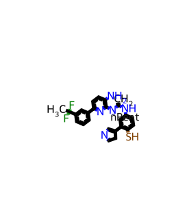 C=C(Nc1ccc(S)c(C2=CN=CC2)c1)N(CCCCC)c1nc(-c2cccc(C(C)(F)F)c2)ccc1N